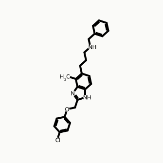 Cc1c(CCCNCc2ccccc2)ccc2[nH]c(COc3ccc(Cl)cc3)nc12